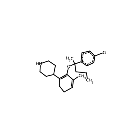 CCCC(C)(OC1=C(C2CCNCC2)CCC=C1C)c1ccc(Cl)cc1